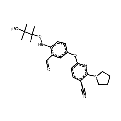 CC(C)(O)C(C)(C)OBc1ccc(Oc2ccc(C#N)c(N3CCCC3)n2)cc1C=O